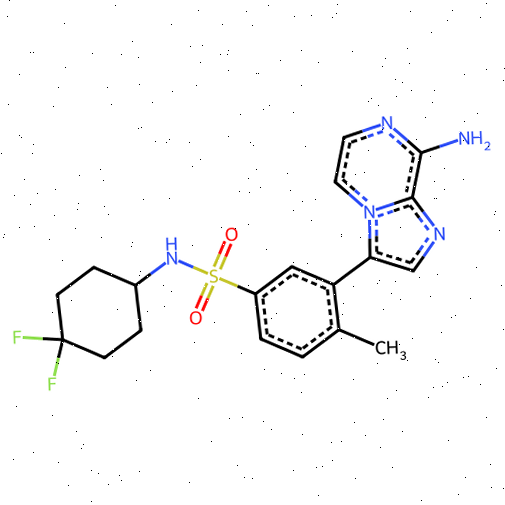 Cc1ccc(S(=O)(=O)NC2CCC(F)(F)CC2)cc1-c1cnc2c(N)nccn12